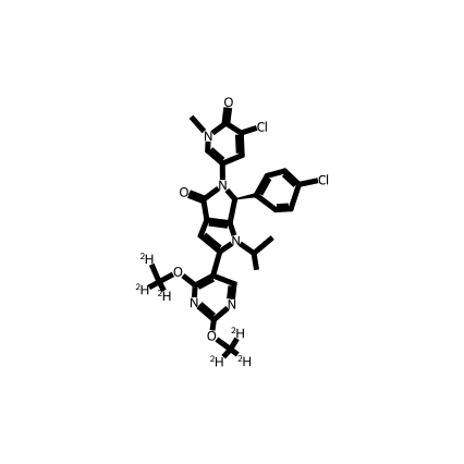 [2H]C([2H])([2H])Oc1ncc(-c2cc3c(n2C(C)C)[C@H](c2ccc(Cl)cc2)N(c2cc(Cl)c(=O)n(C)c2)C3=O)c(OC([2H])([2H])[2H])n1